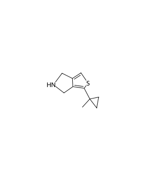 CC1(c2scc3c2CNC3)CC1